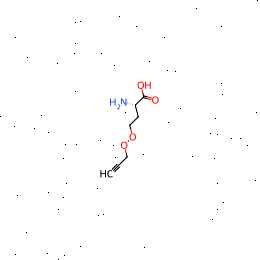 C#CCOOCC[C@H](N)C(=O)O